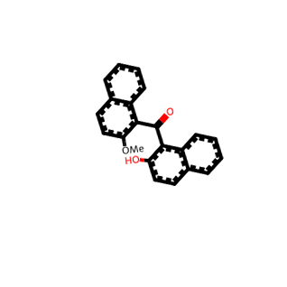 COc1ccc2ccccc2c1C(=O)c1c(O)ccc2ccccc12